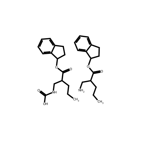 CCCC(CN)C(=O)OC1CCc2ccccc21.CCCC(CNC(=O)O)C(=O)OC1CCc2ccccc21